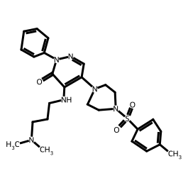 Cc1ccc(S(=O)(=O)N2CCN(c3cnn(-c4ccccc4)c(=O)c3NCCCN(C)C)CC2)cc1